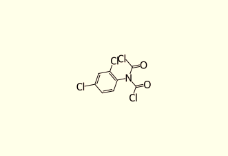 O=C(Cl)N(C(=O)Cl)c1ccc(Cl)cc1Cl